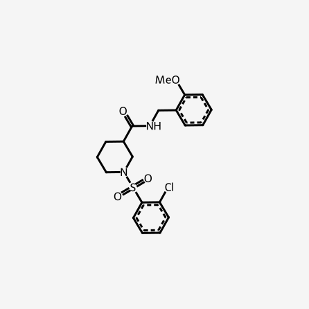 COc1ccccc1CNC(=O)C1CCCN(S(=O)(=O)c2ccccc2Cl)C1